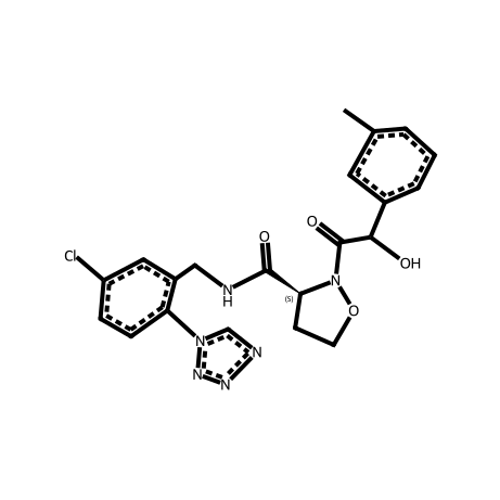 Cc1cccc(C(O)C(=O)N2OCC[C@H]2C(=O)NCc2cc(Cl)ccc2-n2cnnn2)c1